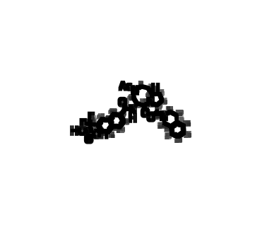 CC(=O)N1CC[C@H]2CC[C@@H](C(=O)N3CCc4ccccc4C3)N2C(=O)[C@@H](NC(=O)c2ccc3ccc(C(F)(F)P(=O)(O)O)cc3c2)C1